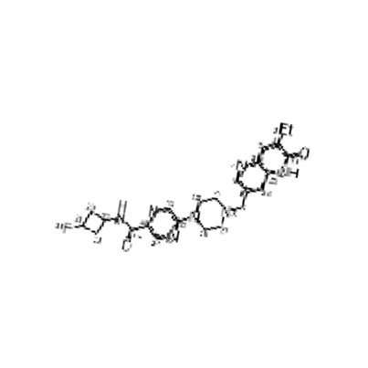 CCc1cc2ncc(CN3CCN(c4cnc(C(=O)NC5CC(F)C5)cn4)CC3)cc2[nH]c1=O